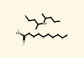 CCCC(C)NC(C)CCC.CCCCCCCCCC(=O)O